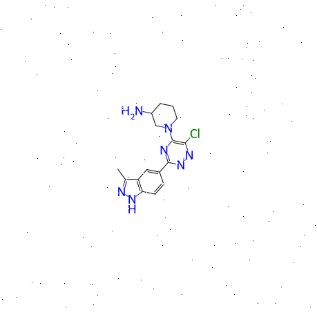 Cc1n[nH]c2ccc(-c3nnc(Cl)c(N4CCCC(N)C4)n3)cc12